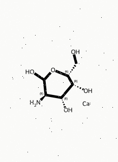 N[C@H]1C(O)O[C@H](CO)[C@H](O)[C@@H]1O.[Ca]